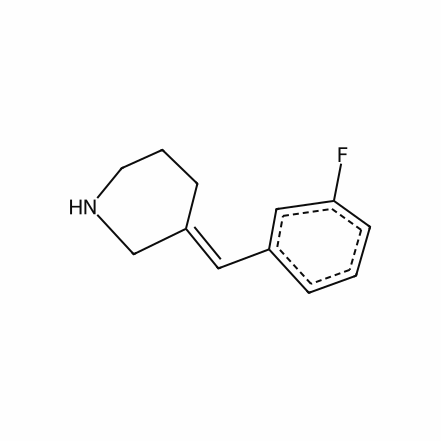 Fc1cccc(C=C2CCCNC2)c1